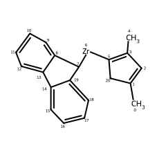 CC1=CC(C)=[C]([Zr][CH]2c3ccccc3-c3ccccc32)C1